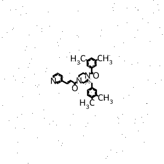 Cc1cc(C)cc(C(=O)N2CCN(C(=O)C=Cc3cccnc3)C[C@H]2Cc2ccc(C)c(C)c2)c1